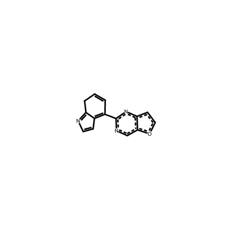 C1=CC(c2ncc3occc3n2)=C2C=CN=C2C1